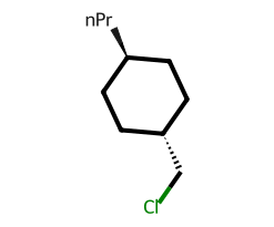 CCC[C@H]1CC[C@H](CCl)CC1